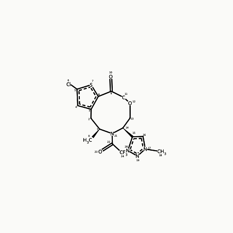 C[C@H]1Cc2cc(Cl)sc2C(=O)COC[C@@H](c2cn(C)nn2)N1C(=O)C(F)(F)F